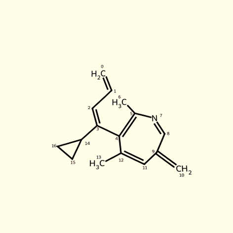 C=C/C=C(\C1=C(C)N=CC(=C)C=C1C)C1CC1